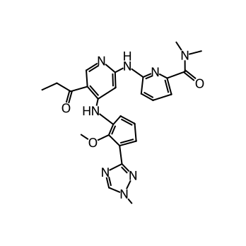 CCC(=O)c1cnc(Nc2cccc(C(=O)N(C)C)n2)cc1Nc1cccc(-c2ncn(C)n2)c1OC